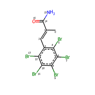 CC(=Cc1c(Br)c(Br)c(Br)c(Br)c1Br)C(N)=O